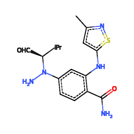 Cc1cc(Nc2cc(N(N)[C@@H](C=O)C(C)C)ccc2C(N)=O)sn1